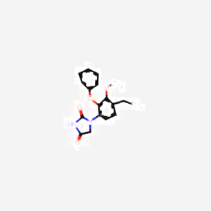 CCc1ccc(N2CC(=O)NC2=O)c(Oc2ccccc2)c1OC